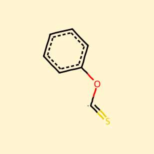 S=[C]Oc1ccccc1